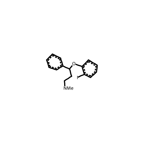 CNCCC(Oc1ccccc1I)c1ccccc1